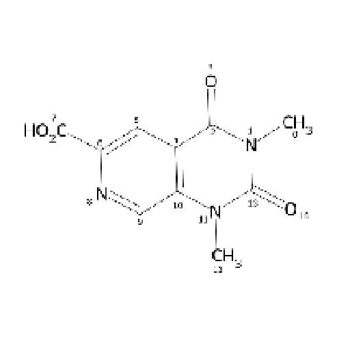 Cn1c(=O)c2cc(C(=O)O)ncc2n(C)c1=O